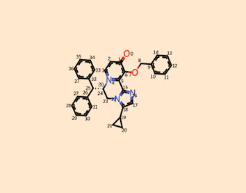 O=c1ccn2c(c1OCc1ccccc1)-c1ncc(C3CC3)n1C[C@@H]2C(c1ccccc1)c1ccccc1